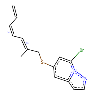 C=C/C=C\C=C(/C)CSc1cc(Br)n2nccc2c1